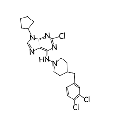 Clc1nc(NN2CCC(Cc3ccc(Cl)c(Cl)c3)CC2)c2ncn(C3CCCC3)c2n1